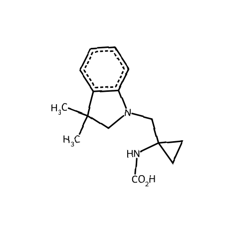 CC1(C)CN(CC2(NC(=O)O)CC2)c2ccccc21